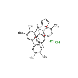 Cl.Cl.[CH2]=[Zr]([C]1=CC=CC1)([c]1ccc(C)cc1)([c]1cccc(C(F)(F)F)c1)[c]1c2c(cc(C(C)(C)C)c1C(C)(C)C)-c1cc(C(C)(C)C)c(C(C)(C)C)cc1C2